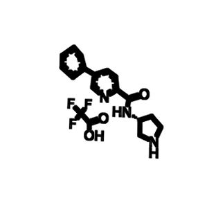 O=C(N[C@@H]1CCNC1)c1ccc(-c2ccccc2)cn1.O=C(O)C(F)(F)F